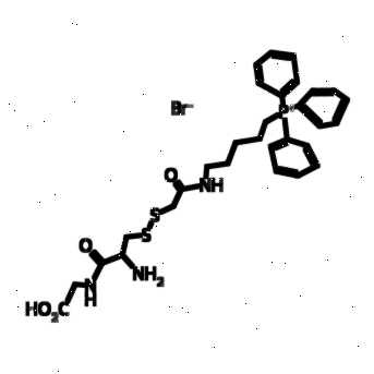 NC(CSSCC(=O)NCCCCC[P+](c1ccccc1)(c1ccccc1)c1ccccc1)C(=O)NCC(=O)O.[Br-]